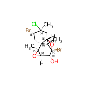 CC1(C)[C@]23C[C@H](Br)[C@@](C)(Cl)C[C@@H]2O[C@]1(Br)[C@H](O)[C@H]1O[C@]13C